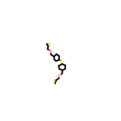 C1CC(SC2CCC(COCC3CS3)CC2)CCC1COCC1CS1